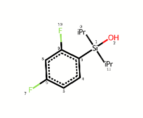 CC(C)[Si](O)(c1ccc(F)cc1F)C(C)C